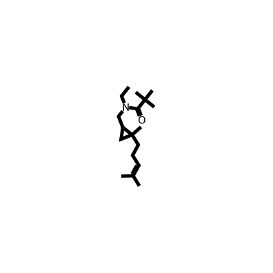 CCN(CC1CC1(C)CCC=C(C)C)C(=O)C(C)(C)C